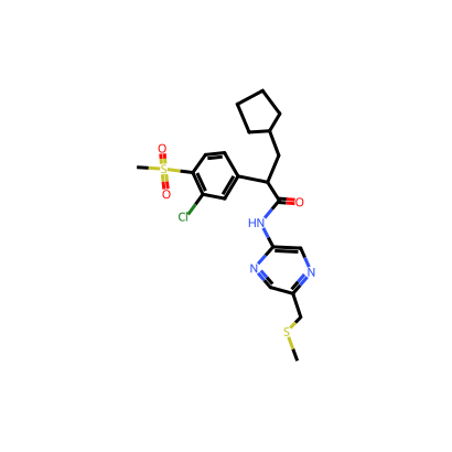 CSCc1cnc(NC(=O)C(CC2CCCC2)c2ccc(S(C)(=O)=O)c(Cl)c2)cn1